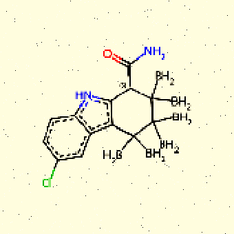 BC1(B)c2c([nH]c3ccc(Cl)cc23)[C@@H](C(N)=O)C(B)(B)C1(B)B